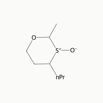 CCCC1CCOC(C)[S+]1[O-]